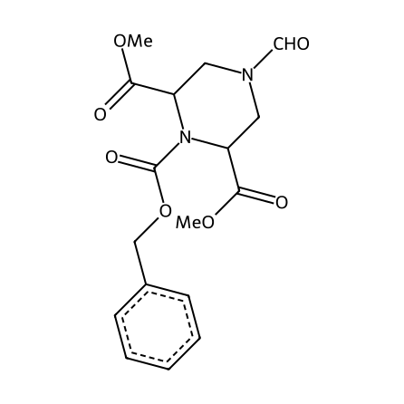 COC(=O)C1CN(C=O)CC(C(=O)OC)N1C(=O)OCc1ccccc1